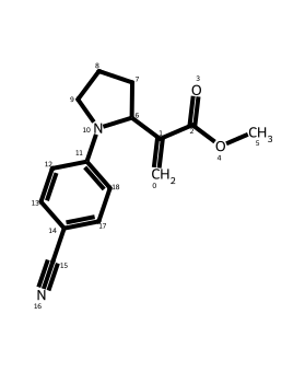 C=C(C(=O)OC)C1CCCN1c1ccc(C#N)cc1